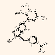 CCCCN(CC)c1ccc(/C=c2/c(C(C)(C)C)nn3nc(-c4cc(C)cc(NC(C)=O)c4OC)nc23)s1